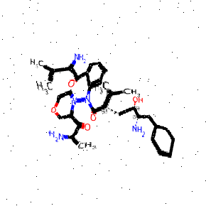 CC(N)C(=O)C1COCCN1N(C(=O)[C@@H](C[C@H](O)[C@@H](N)CC1CCCCC1)C(C)C)c1ccccc1C(=O)C(N)C(C)C